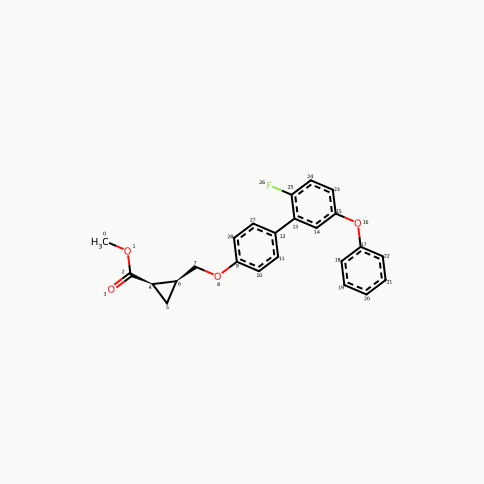 COC(=O)[C@@H]1C[C@@H]1COc1ccc(-c2cc(Oc3ccccc3)ccc2F)cc1